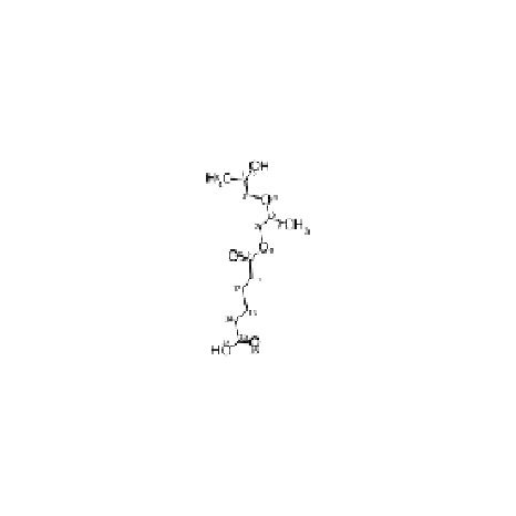 CC(O)COC(C)COC(=O)CCCCC(=O)O